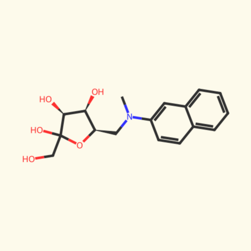 CN(C[C@H]1OC(O)(CO)[C@@H](O)[C@H]1O)c1ccc2ccccc2c1